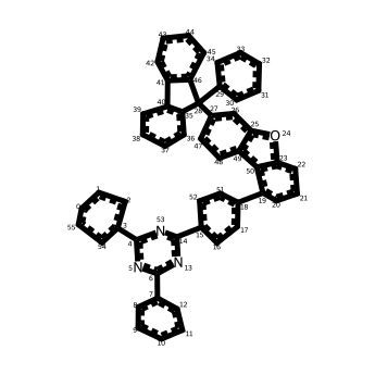 c1ccc(-c2nc(-c3ccccc3)nc(-c3ccc(-c4cccc5oc6cc(C7(c8ccccc8)c8ccccc8-c8ccccc87)ccc6c45)cc3)n2)cc1